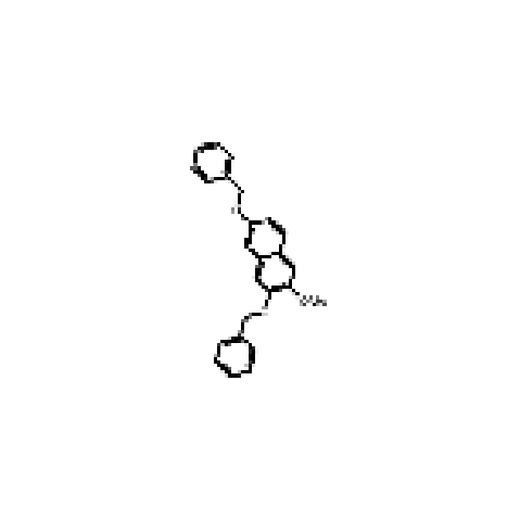 COc1cc2ccc(OCc3ccccc3)cc2cc1OCc1ccccc1